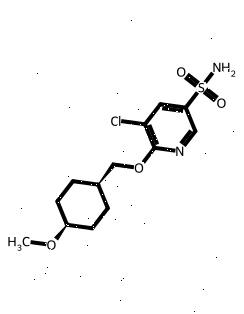 CO[C@H]1CC[C@@H](COc2ncc(S(N)(=O)=O)cc2Cl)CC1